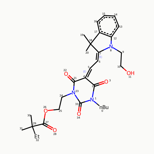 CCCCN1C(=O)/C(=C\C=C2\N(CCO)c3ccccc3C2(C)C)C(=O)N(CCOC(=O)C(C)(C)CC)C1=O